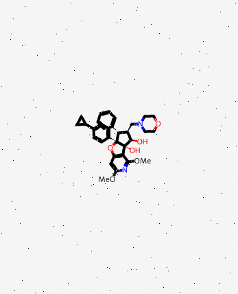 COc1cc2c(c(OC)n1)[C@]1(O)[C@H](O)[C@H](CN3CCOCC3)[C@@H](c3ccccc3)[C@]1(c1ccc(C3CC3)cc1)O2